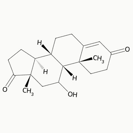 C[C@]12CCC(=O)C=C1CC[C@@H]1[C@H]2C(O)C[C@]2(C)C(=O)CC[C@@H]12